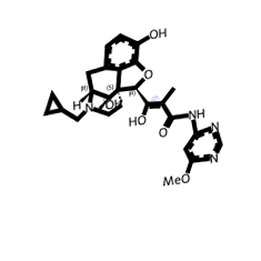 COc1cc(NC(=O)/C(C)=C(\O)[C@@H]2Oc3c(O)ccc4c3[C@@]23CCN(CC2CC2)[C@H](C4)[C@@]3(C)O)ncn1